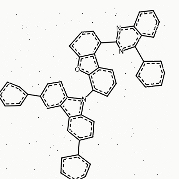 c1ccc(-c2ccc3c(c2)c2cc(-c4ccccc4)ccc2n3-c2cccc3c2oc2cccc(-c4nc(-c5ccccc5)c5ccccc5n4)c23)cc1